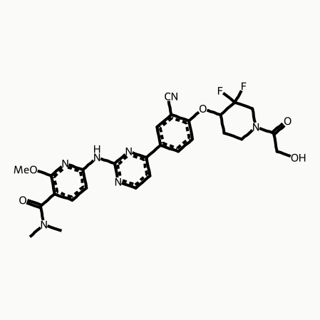 COc1nc(Nc2nccc(-c3ccc(OC4CCN(C(=O)CO)CC4(F)F)c(C#N)c3)n2)ccc1C(=O)N(C)C